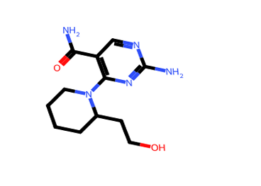 NC(=O)c1cnc(N)nc1N1CCCCC1CCO